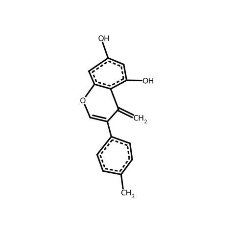 C=C1C(c2ccc(C)cc2)=COc2cc(O)cc(O)c21